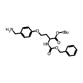 CC(C)(C)OC(=O)C(CCOc1ccc(CN)cc1)NC(=O)OCc1ccccc1